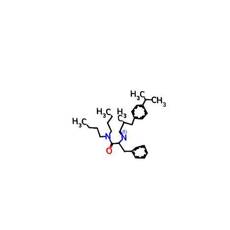 CCCCN(CCCC)C(=O)C(Cc1ccccc1)/N=C/C(C)Cc1ccc(C(C)C)cc1